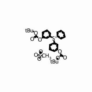 CC(C)(C)OC(=O)Oc1cccc([S+](c2ccccc2)c2cccc(OC(=O)OC(C)(C)C)c2)c1.CS(=O)(=O)[O-]